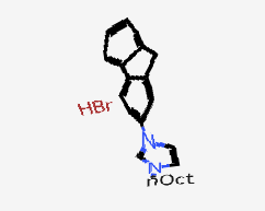 Br.CCCCCCCCN1C=CN(c2ccc3c(c2)Cc2ccccc2-3)C1